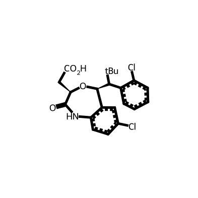 CC(C)(C)C(c1ccccc1Cl)[C@@H]1O[C@H](CC(=O)O)C(=O)Nc2ccc(Cl)cc21